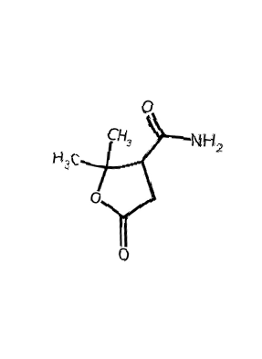 CC1(C)OC(=O)CC1C(N)=O